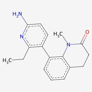 CCc1nc(N)ccc1-c1cccc2c1N(C)C(=O)CC2